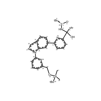 CCCC(O)(N[S@+]([O-])C(C)(C)C)c1cccc(-c2ccc3cnn(-c4cccc(CO[Si](C)(C)C(C)(C)C)n4)c3c2)n1